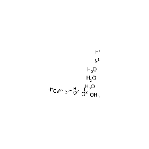 O.O.O.O.O.O.[Ca+2].[H+].[H+].[S-2].[S-2]